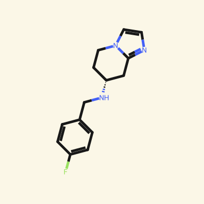 Fc1ccc(CN[C@@H]2CCn3ccnc3C2)cc1